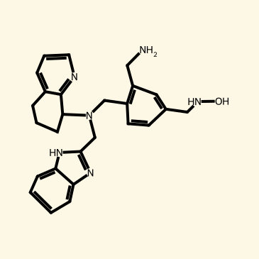 NCc1cc(CNO)ccc1CN(Cc1nc2ccccc2[nH]1)C1CCCc2cccnc21